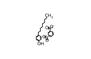 CCCCCCCCCc1ccc(O)cc1.O=[N+]([O-])c1cccc([N+](=O)[O-])c1